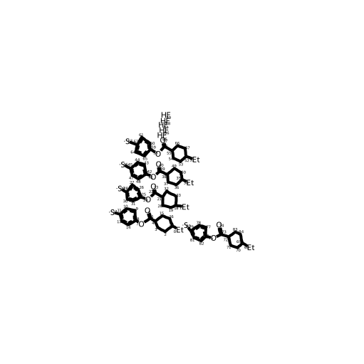 CCC1CCC(C(=O)Oc2ccc([S])cc2)CC1.CCC1CCC(C(=O)Oc2ccc([S])cc2)CC1.CCC1CCC(C(=O)Oc2ccc([S])cc2)CC1.CCC1CCC(C(=O)Oc2ccc([S])cc2)CC1.CCC1CCC(C(=O)Oc2ccc([S])cc2)CC1.F.F.F.F.F